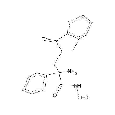 NC(CN1Cc2ccccc2C1=O)(C(=O)NC=O)c1ccccc1